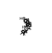 Cc1ccc2[nH]c(CCC(C)[C@H]3CC[C@H]4[C@@H]5CC[C@@H]6C[C@H](O)CC[C@]6(C)[C@H]5C[C@H](O)[C@]34C)nc2c1F